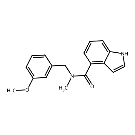 COc1cccc(CN(C)C(=O)c2cccc3[nH]ccc23)c1